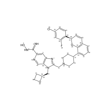 N=C(NO)c1cc2nc(CN3CCC(c4cccc5c4O[C@@H](c4ccc(Cl)cc4F)C=C5)CC3)n(C[C@@H]3CCO3)c2cn1